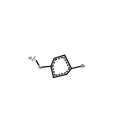 C[N]c1ccc(Br)cc1